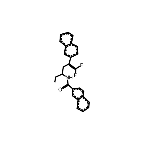 CCC(CC(=C(F)F)c1ccc2ccccc2c1)NC(=O)c1ccc2ccccc2c1